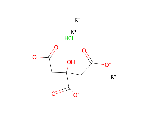 Cl.O=C([O-])CC(O)(CC(=O)[O-])C(=O)[O-].[K+].[K+].[K+]